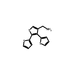 NCc1csc(-c2cccs2)c1-c1cccs1